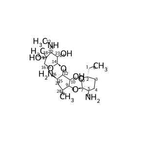 CC[C@@H]1CCC(N)[C@@H](OC2C(O)C(O[C@H]3OCC(C)(O)[C@H](NC)C3O)[C@H](N)C[C@@H]2C)O1